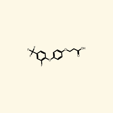 O=C(O)CCOc1ccc(Oc2ccc(C(F)(F)F)cc2F)cc1